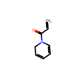 C=CC(=O)N1C=CC=CC1